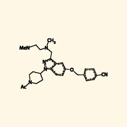 CNCCN(C)Cc1nn(C2CCN(C(C)=O)CC2)c2ccc(OCc3ccc(C#N)cc3)cc12